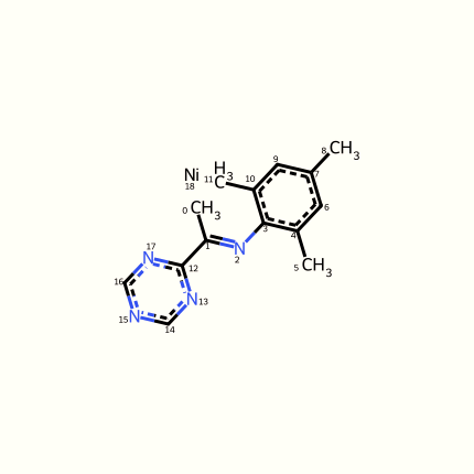 CC(=Nc1c(C)cc(C)cc1C)c1ncncn1.[Ni]